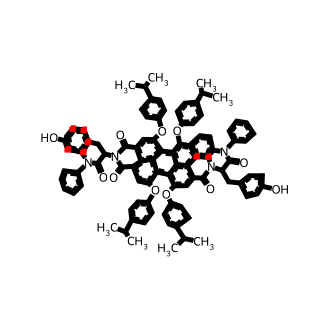 CC(C)c1ccc(Oc2cc3c4c(cc(Oc5ccc(C(C)C)cc5)c5c6c(Oc7ccc(C(C)C)cc7)cc7c8c(cc(Oc9ccc(C(C)C)cc9)c(c2c45)c86)C(=O)N(C(Cc2ccc(O)cc2)C(=O)N(c2ccccc2)c2ccccc2)C7=O)C(=O)N(C(Cc2ccc(O)cc2)C(=O)N(c2ccccc2)c2ccccc2)C3=O)cc1